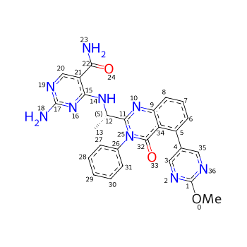 COc1ncc(-c2cccc3nc([C@H](C)Nc4nc(N)ncc4C(N)=O)n(-c4ccccc4)c(=O)c23)cn1